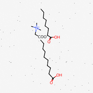 CCCCCCCC(=O)O.CCCCCCCCCC(=O)O.C[N+](C)(C)CC(=O)[O-]